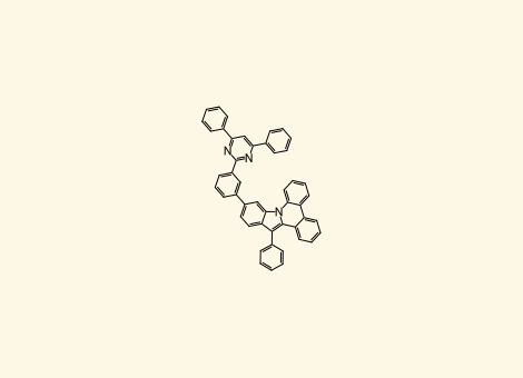 c1ccc(-c2cc(-c3ccccc3)nc(-c3cccc(-c4ccc5c(-c6ccccc6)c6c7ccccc7c7ccccc7n6c5c4)c3)n2)cc1